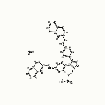 OC(=S)CCc1scc(-c2ccc(OCc3ccc4ccccc4n3)cc2)c1-c1ccc(OCc2ccc3ccccc3n2)cc1.[NaH]